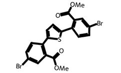 COC(=O)c1cc(Br)ccc1-c1ccc(-c2ccc(Br)cc2C(=O)OC)s1